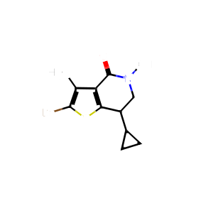 Cc1c(Br)sc2c1C(=O)N(C)CC2C1CC1